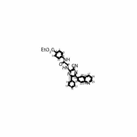 CCOC(=O)c1ccc(NC(=O)CNc2nc(-c3ccccc3)c(-c3ccc4ncccc4c3)nc2C#N)cc1